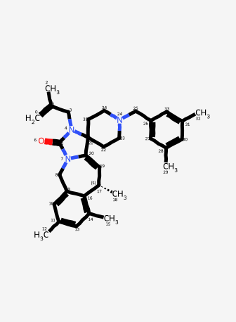 C=C(C)CN1C(=O)N2Cc3cc(C)cc(C)c3[C@@H](C)C=C2C12CCN(Cc1cc(C)cc(C)c1)CC2